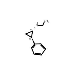 CCN[C@H]1C[C@@H]1c1ccccc1